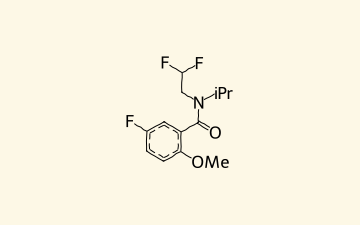 COc1ccc(F)cc1C(=O)N(CC(F)F)C(C)C